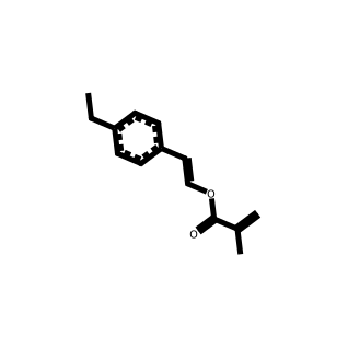 C=C(C)C(=O)OC=Cc1ccc(CC)cc1